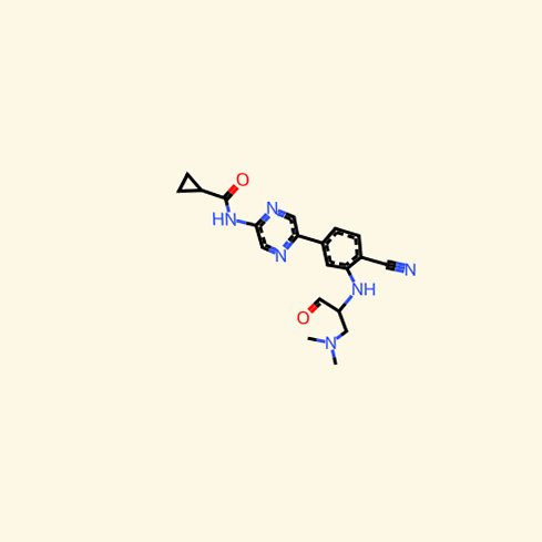 CN(C)CC(C=O)Nc1cc(-c2cnc(NC(=O)C3CC3)cn2)ccc1C#N